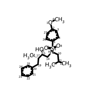 COc1ccc(S(=O)(=O)N(CC(C)C)C[C@@H](O)[C@@H](C)Cc2ccccc2)cc1